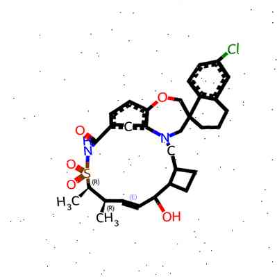 C[C@@H]1/C=C/C(O)C2CCC2CN2CC3(CCCc4cc(Cl)ccc43)COc3ccc(cc32)C(=O)NS(=O)(=O)[C@@H]1C